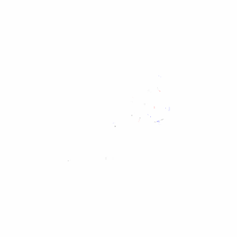 CCCCCCCCCCCCCCC/C=C/N.CCCCCCCCCCCCCCC/C=C/O[C@@H](C(N)=O)[C@@H](O)[C@H](O)[C@H](O)C(N)=O